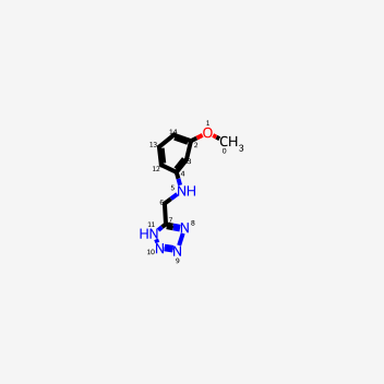 COc1[c]c(NCc2nnn[nH]2)ccc1